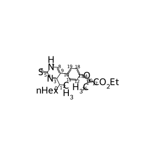 CCCCCCC(C)c1nc(=S)[nH]cc1-c1ccc(O[C@H](C)C(=O)OCC)cc1